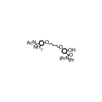 CC(=O)/N=C(\N)c1ccc(OCCCCCOc2ccc(C(=O)N(C(C)C)C(C)C)c(O)c2)cc1